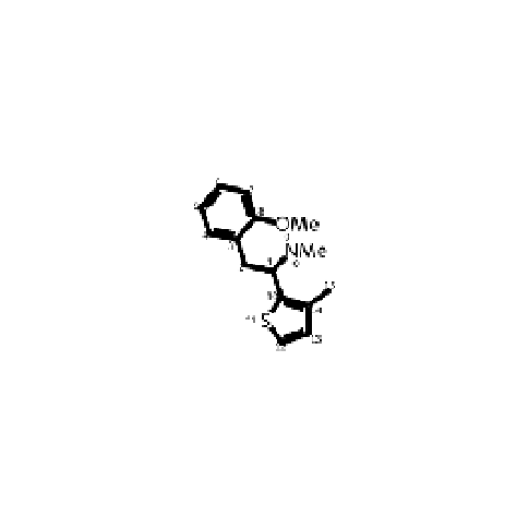 CNC(Cc1ccccc1OC)c1sccc1C